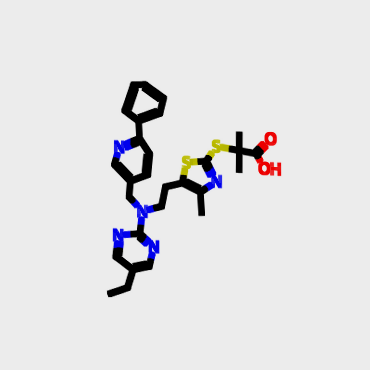 CCc1cnc(N(CCc2sc(SC(C)(C)C(=O)O)nc2C)Cc2ccc(-c3ccccc3)nc2)nc1